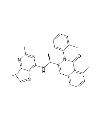 Cc1nc(N[C@@H](C)c2cc3cccc(C)c3c(=O)n2-c2ccccc2C)c2nc[nH]c2n1